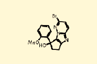 COc1ccccc1C1(O)CCc2nc3ccc(Br)nn3c21